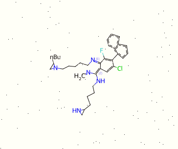 C=N/C(NCCCCC1CN1)=C1/C=C(Cl)C(c2cccc3ccccc23)=C(F)/C1=N/CCCCCN1CC1CCCC